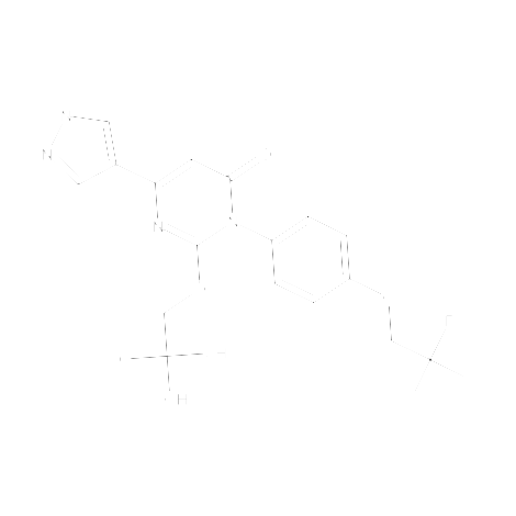 CC(C)(O)COc1nc(-c2cn[nH]c2)cc(=O)n1-c1ccc(OCC(F)(F)F)cc1